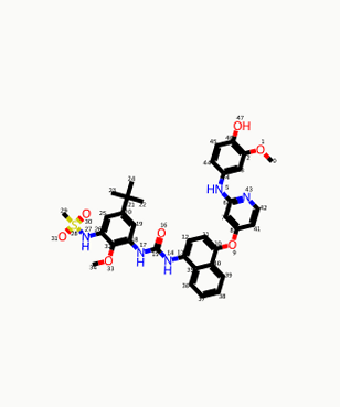 COc1cc(Nc2cc(Oc3ccc(NC(=O)Nc4cc(C(C)(C)C)cc(NS(C)(=O)=O)c4OC)c4ccccc34)ccn2)ccc1O